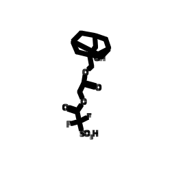 O=C(COC(=O)C(F)(F)S(=O)(=O)O)OCC12CC3CC(C1)C(O)C(C3)C2